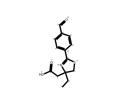 CCC1(CC(=O)O)CSC(c2ccc(C=O)cc2)=N1